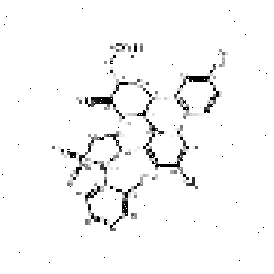 O=C(O)C[C@@H]1O[C@H](c2cccc(Cl)c2)[C@@H](c2ccc(Cl)cc2)N([C@@H]2CN(c3ccccc3F)S(=O)(=O)C2)C1=O